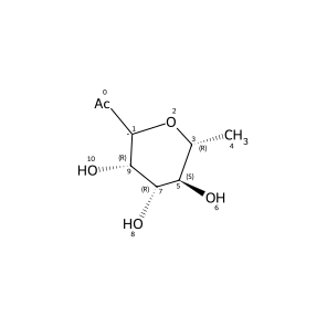 CC(=O)[C]1O[C@H](C)[C@@H](O)[C@H](O)[C@@H]1O